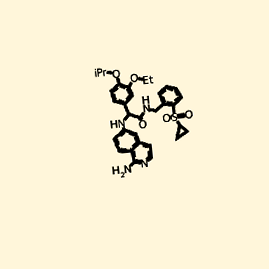 CCOc1cc(C(Nc2ccc3c(N)nccc3c2)C(=O)NCc2ccccc2S(=O)(=O)C2CC2)ccc1OC(C)C